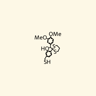 COc1ccc(C(O)C2(c3ccc(CS)cc3)SCCCS2)cc1OC